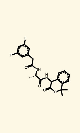 C[C@H](NC(=O)Cc1cc(F)cc(F)c1)C(=O)NC1C(=O)OC(C)(C)c2ccccc21